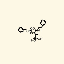 CC(C)C(NC(=O)OCc1ccccc1)C(=O)NCCc1ccccc1.OBO